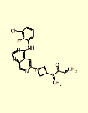 C=CC(=O)N(C)C1CN(c2cc3c(Nc4cccc(Cl)c4F)ncnc3cn2)C1